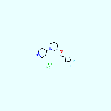 Cl.Cl.FC1(F)CC(COC2CCCN(C3CCNCC3)C2)C1